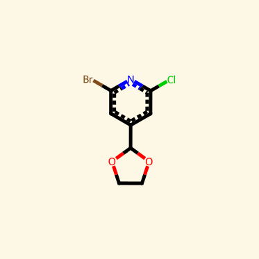 Clc1cc(C2OCCO2)cc(Br)n1